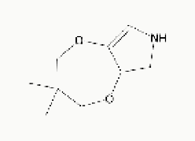 CC1(C)COC2=CNCC2OC1